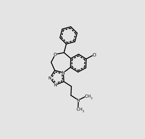 CN(C)CCc1nnc2n1-c1ccc(Cl)cc1C(c1ccccc1)OC2